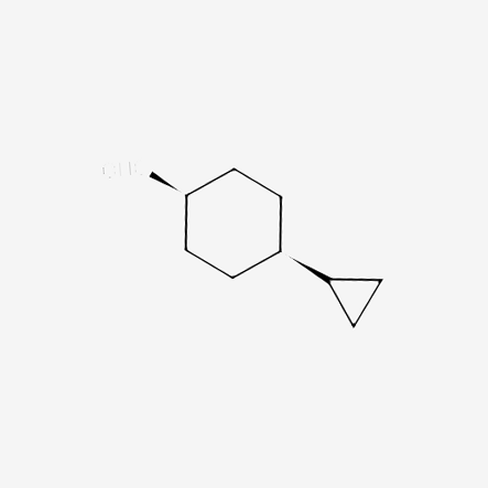 O=C[C@H]1CC[C@@H](C2CC2)CC1